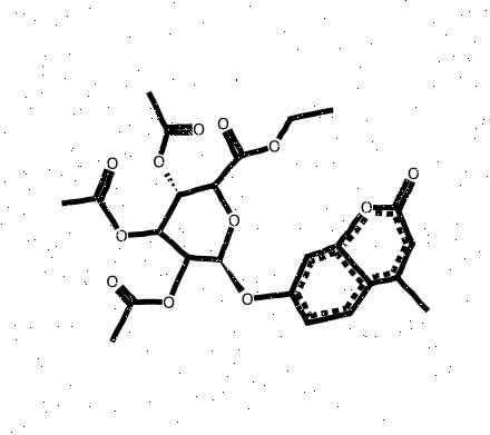 CCOC(=O)C1O[C@@H](Oc2ccc3c(C)cc(=O)oc3c2)C(OC(C)=O)C(OC(C)=O)[C@@H]1OC(C)=O